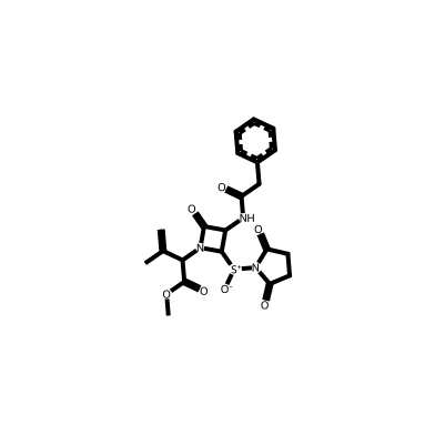 C=C(C)C(C(=O)OC)N1C(=O)C(NC(=O)Cc2ccccc2)C1[S+]([O-])N1C(=O)CCC1=O